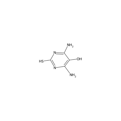 Nc1nc(S)nc(N)c1O